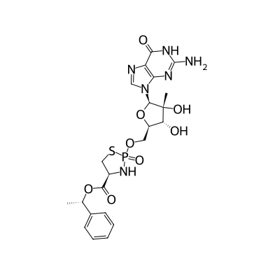 C[C@H](OC(=O)[C@H]1CSP(=O)(OC[C@H]2O[C@@H](n3cnc4c(=O)[nH]c(N)nc43)[C@](C)(O)[C@@H]2O)N1)c1ccccc1